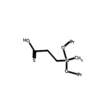 CC(C)O[Si](C)(CCC(O)=S)OC(C)C